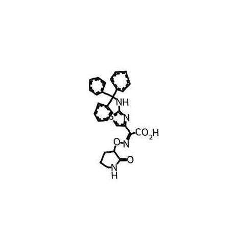 O=C(O)C(=NOC1CCCNC1=O)c1csc(NC(c2ccccc2)(c2ccccc2)c2ccccc2)n1